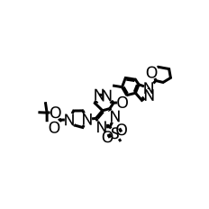 Cc1ccc2c(cnn2C2CCCCO2)c1Oc1nncc2c(N3CCN(C(=O)OC(C)(C)C)CC3)nc(S(C)(=O)=O)nc12